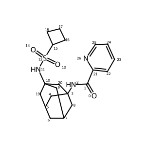 O=C(NC12CC3CC(C1)CC(NS(=O)(=O)C1CCC1)(C3)C2)c1ccccn1